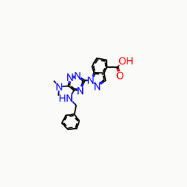 CN(C)c1nnc(-n2ncc3c(C(=O)O)cccc32)nc1NCc1ccccc1